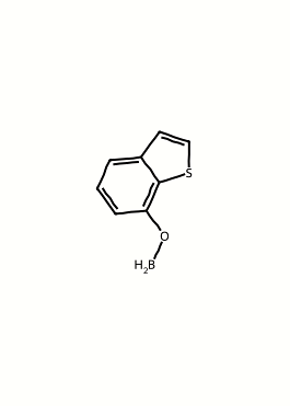 BOc1cccc2ccsc12